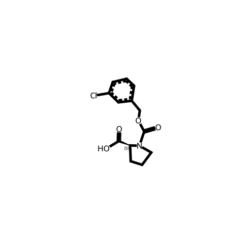 O=C(O)[C@@H]1CCCN1C(=O)OCc1cccc(Cl)c1